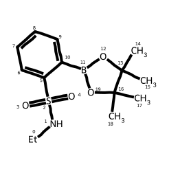 CCNS(=O)(=O)c1ccccc1B1OC(C)(C)C(C)(C)O1